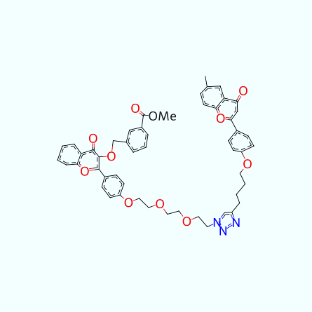 COC(=O)c1cccc(COc2c(-c3ccc(OCCOCCOCCn4cc(CCCCOc5ccc(-c6cc(=O)c7cc(C)ccc7o6)cc5)nn4)cc3)oc3ccccc3c2=O)c1